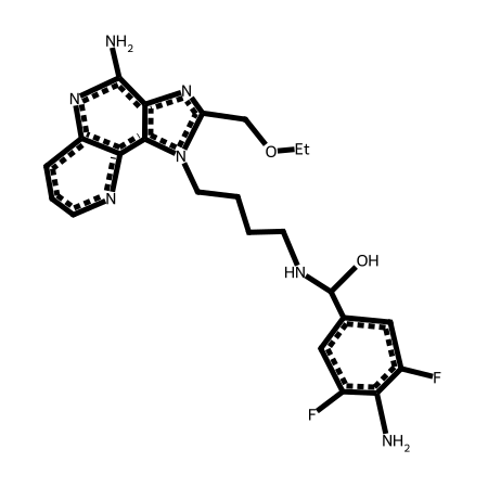 CCOCc1nc2c(N)nc3cccnc3c2n1CCCCNC(O)c1cc(F)c(N)c(F)c1